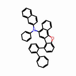 C1=CCC=C(c2ccccc2-c2cccc3oc4c5ccccc5c(N(C5=CCCC=C5)c5ccc6ccccc6c5)cc4c23)C=C1